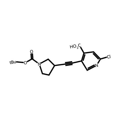 CC(C)(C)OC(=O)N1CCC(C#Cc2cnc(Cl)cc2C(=O)O)C1